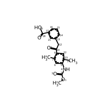 COC(=O)Nc1cc(C)c(C(=O)Cc2cccc(C(=O)O)c2)cc1C